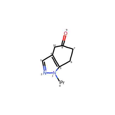 CC(C)n1ncc2c1CCC(=O)C2